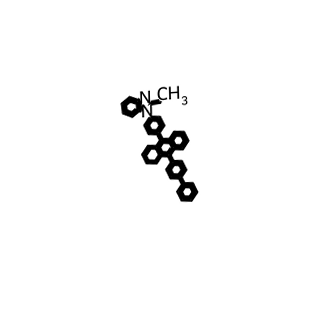 CCc1nc2ccccc2n1-c1ccc(-c2c3c(c(-c4ccc(-c5ccccc5)cc4)c4ccccc24)CCC=C3)cc1